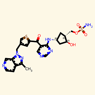 Cc1nn(Cc2csc(C(=O)c3cncnc3N[C@@H]3C[C@H](COS(N)(=O)=O)[C@@H](O)C3)c2)c2cnccc12